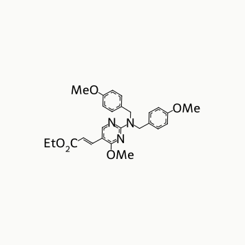 CCOC(=O)/C=C/c1cnc(N(Cc2ccc(OC)cc2)Cc2ccc(OC)cc2)nc1OC